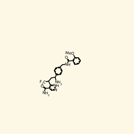 COc1ccccc1C(=O)NCc1ccc(C(N)CC(c2[nH]ncc2C(N)=O)C(F)(F)F)cc1